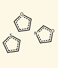 c1ccoc1.c1ccsc1.c1cocn1